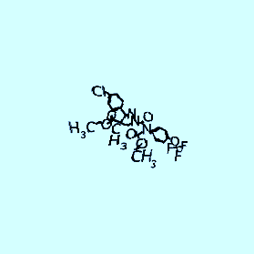 CCOC(=O)N(C(=O)N1CC(C)(C(=O)OCC)C(c2ccc(Cl)cc2)=N1)c1ccc(OC(F)(F)F)cc1